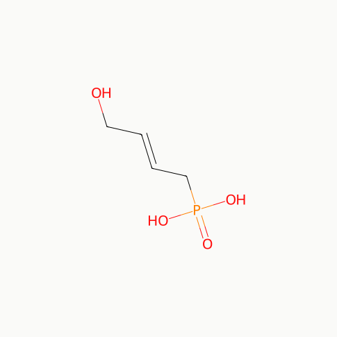 O=P(O)(O)C/C=C/CO